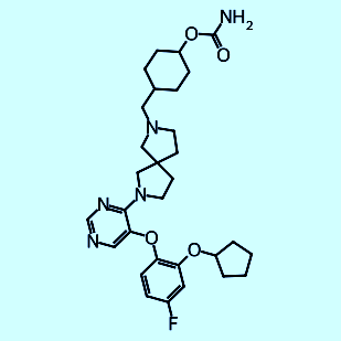 NC(=O)OC1CCC(CN2CCC3(CCN(c4ncncc4Oc4ccc(F)cc4OC4CCCC4)C3)C2)CC1